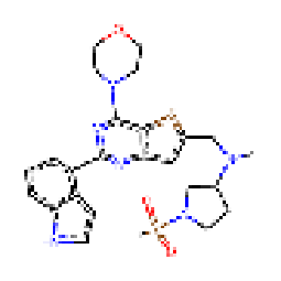 CN(Cc1cc2nc(-c3cccc4[nH]ccc34)nc(N3CCOCC3)c2s1)C1CCN(S(C)(=O)=O)C1